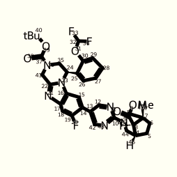 COC(=O)[C@@H]1[C@@H]2CC[C@H]1CN(c1ncc(-c3cc4c(cc3F)nc3n4[C@H](c4ccccc4OC(F)F)CN(C(=O)OC(C)(C)C)C3)cn1)C2